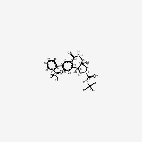 CC(C)(C)OC(=O)N1C[C@H]2CNC(=O)c3cc(-c4ccccc4S(C)(=O)=O)ccc3[C@@H]2C1